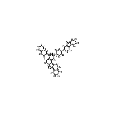 c1ccc2cc(-c3nc(-c4ccc(-c5ccc6c(c5)sc5ccccc56)cc4)cc4c3ccc3oc5c6ccccc6ccc5c34)ccc2c1